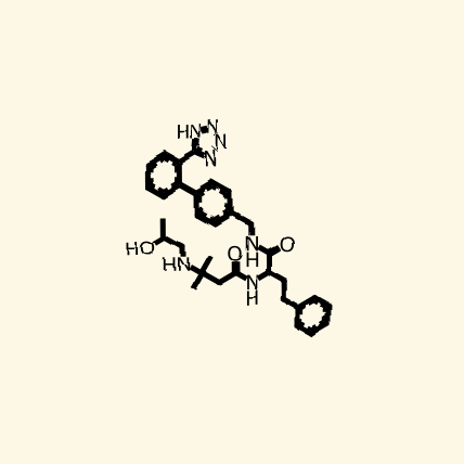 CC(O)CNC(C)(C)CC(=O)NC(CCc1ccccc1)C(=O)NCc1ccc(-c2ccccc2-c2nnn[nH]2)cc1